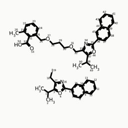 CC(C)c1oc(-c2ccc3ccccc3c2)nc1CI.Cc1cccc(COCCCOCc2nc(-c3ccc4ccccc4c3)oc2C(C)C)c1C(=O)O